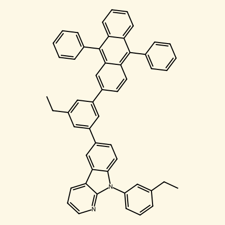 CCc1cc(-c2ccc3c(-c4ccccc4)c4ccccc4c(-c4ccccc4)c3c2)cc(-c2ccc3c(c2)c2cccnc2n3-c2cccc(CC)c2)c1